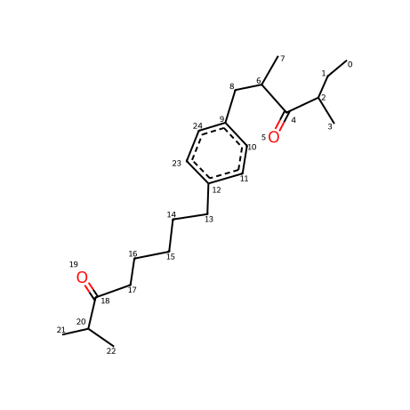 CCC(C)C(=O)C(C)Cc1ccc(CCCCCC(=O)C(C)C)cc1